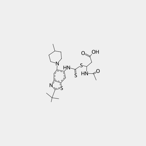 CC(=O)NC(CC(=O)O)SC(=S)Nc1cc2sc(C(C)(C)C)nc2cc1N1CCC(C)CC1